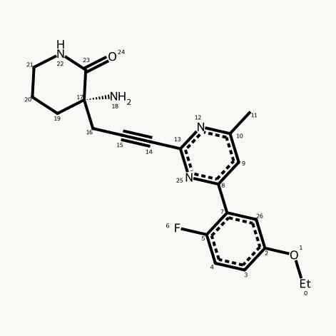 CCOc1ccc(F)c(-c2cc(C)nc(C#CC[C@@]3(N)CCCNC3=O)n2)c1